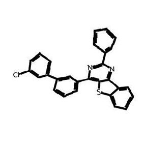 Clc1cccc(-c2cccc(-c3nc(-c4ccccc4)nc4c3sc3ccccc34)c2)c1